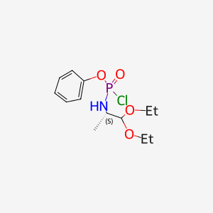 CCOC(OCC)[C@H](C)NP(=O)(Cl)Oc1ccccc1